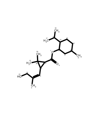 CC(=CC1C(C(=O)OC2CC(C)CCC2C(C)C)C1(C)C)CO